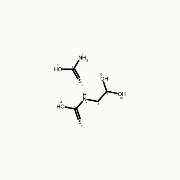 NC(O)=S.OC(=S)NCC(O)O